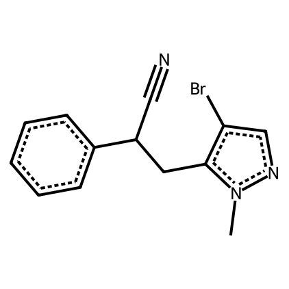 Cn1ncc(Br)c1CC(C#N)c1ccccc1